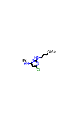 COCCCNc1nc(Cl)cc(NC(C)C)n1